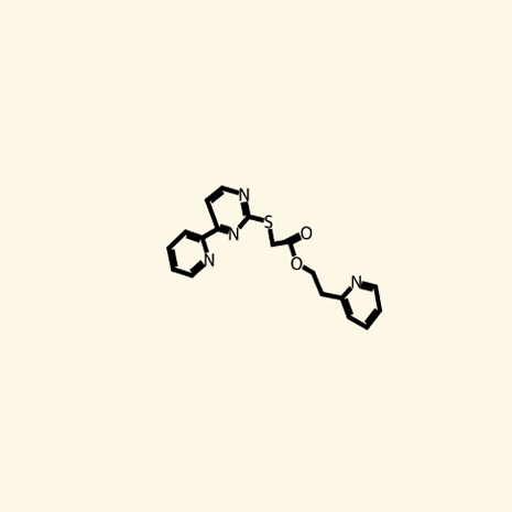 O=C(CSc1nccc(-c2ccccn2)n1)OCCc1ccccn1